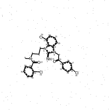 CN(CCCn1c(=N)n(CC(=O)c2ccc(Cl)cc2)c2cccc(Cl)c21)C(=O)c1ccccc1Cl